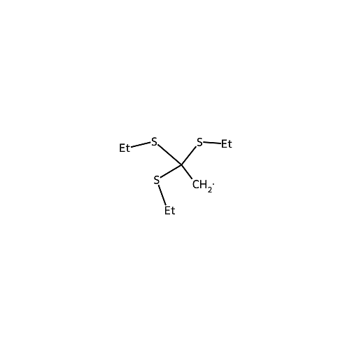 [CH2]C(SCC)(SCC)SCC